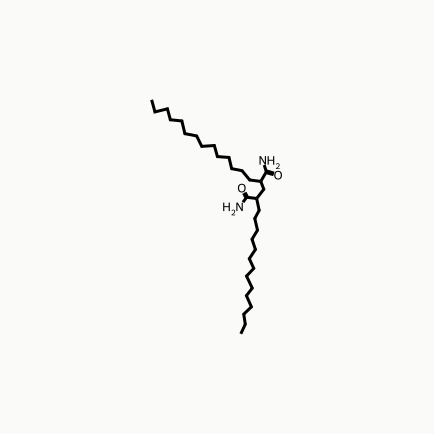 CCCCCCCCCCCCCCC(CC(CCCCCCCCCCCCCC)C(N)=O)C(N)=O